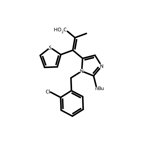 CCCCc1ncc(C(=C(C)C(=O)O)c2cccs2)n1Cc1ccccc1Cl